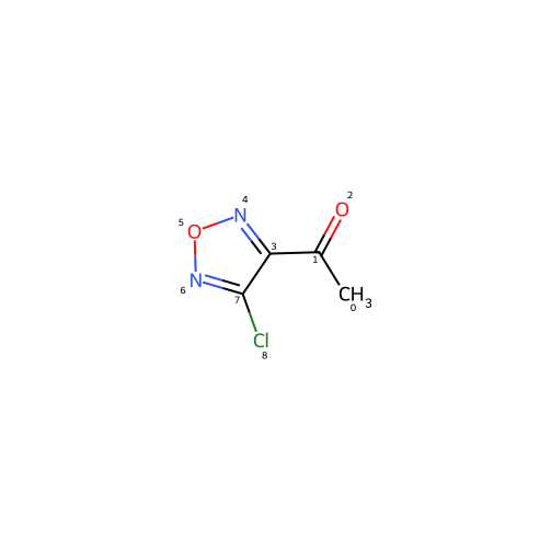 CC(=O)c1nonc1Cl